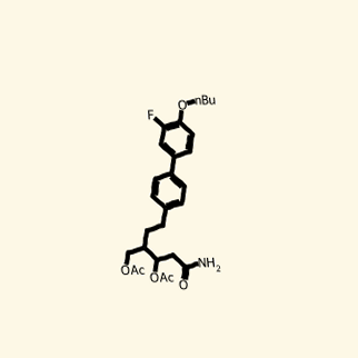 CCCCOc1ccc(-c2ccc(CCC(COC(C)=O)C(CC(N)=O)OC(C)=O)cc2)cc1F